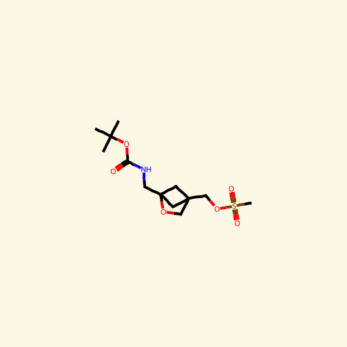 CC(C)(C)OC(=O)NCC12CC(COS(C)(=O)=O)(CO1)C2